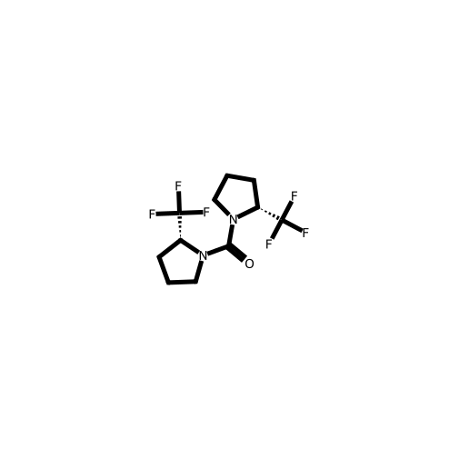 O=C(N1CCC[C@@H]1C(F)(F)F)N1CCC[C@@H]1C(F)(F)F